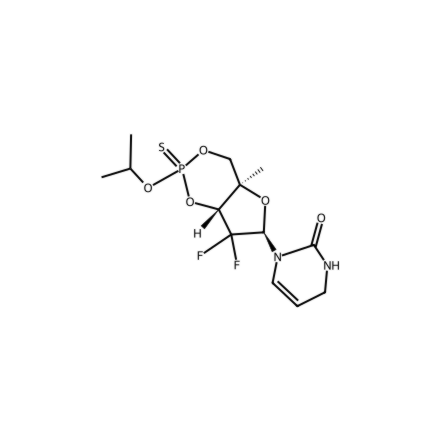 CC(C)OP1(=S)OC[C@@]2(C)O[C@@H](N3C=CCNC3=O)C(F)(F)[C@@H]2O1